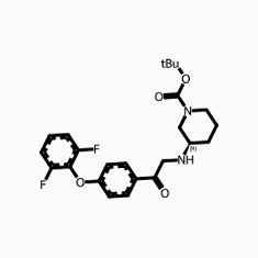 CC(C)(C)OC(=O)N1CCC[C@@H](NCC(=O)c2ccc(Oc3c(F)cccc3F)cc2)C1